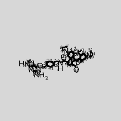 C[Si]1(C)c2cc(N3CCC3)ccc2C2(OC(=O)c3ccc(C(=O)NCc4ccc(COc5nc(N)nc6[nH]cnc56)cc4)cc32)c2ccc(N3CCC3)cc21